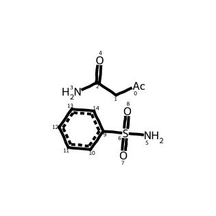 CC(=O)CC(N)=O.NS(=O)(=O)c1ccccc1